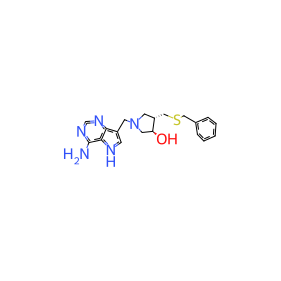 Nc1ncnc2c(CN3C[C@H](CSCc4ccccc4)[C@@H](O)C3)c[nH]c12